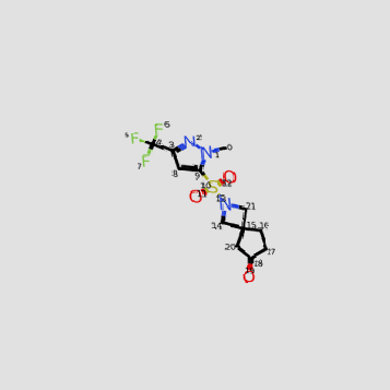 Cn1nc(C(F)(F)F)cc1S(=O)(=O)N1CC2(CCC(=O)C2)C1